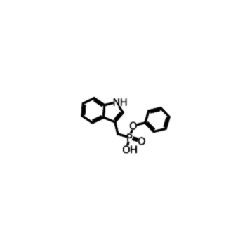 O=P(O)(Cc1c[nH]c2ccccc12)Oc1ccccc1